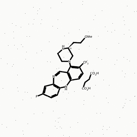 COCC[C@H]1CN(c2c(C(F)(F)F)ccc3c2C=Nc2cc(F)ccc2N3)CCN1.O=C(O)CCC(=O)O